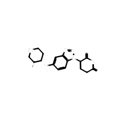 Cl.O=C1CCC(n2nnc3cc(N[C@H]4CCNC[C@@H]4F)ccc32)C(=O)N1